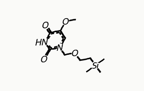 COc1cn(COCC[Si](C)(C)C)c(=O)[nH]c1=O